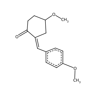 COc1ccc(C=C2CC(OC)CCC2=O)cc1